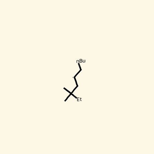 CCCCC[CH]CC(C)(C)CC